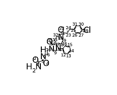 NC(=O)C(=O)NCCN1CN(c2ccccc2)C2(CCN(C(=O)[CH]Cc3ccc(Cl)cc3)CC2)C1=O